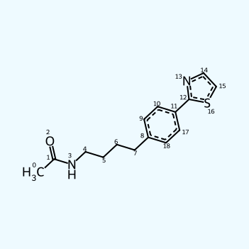 CC(=O)NCCCCc1ccc(-c2nccs2)cc1